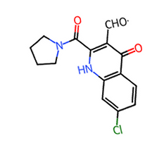 O=[C]c1c(C(=O)N2CCCC2)[nH]c2cc(Cl)ccc2c1=O